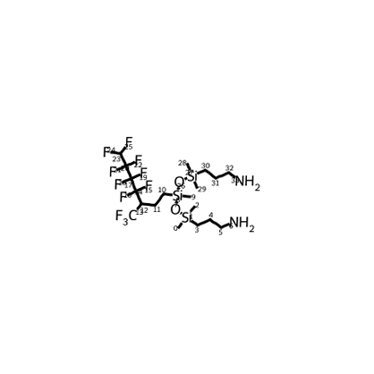 C[Si](C)(CCCN)O[Si](C)(CCC(C(F)(F)F)C(F)(F)C(F)(F)C(F)(F)C(F)F)O[Si](C)(C)CCCN